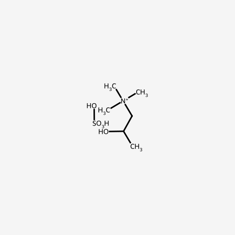 CC(O)C[N+](C)(C)C.O=S(=O)(O)O